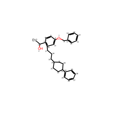 CCC(O)c1ccc(OCc2ccccc2)cc1CCCC1CCC(c2ccccc2)CC1